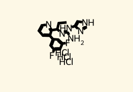 CCC(N=C(N)Nc1c[nH]cn1)c1ncccc1-c1cc(F)cc(F)c1.Cl.Cl.Cl